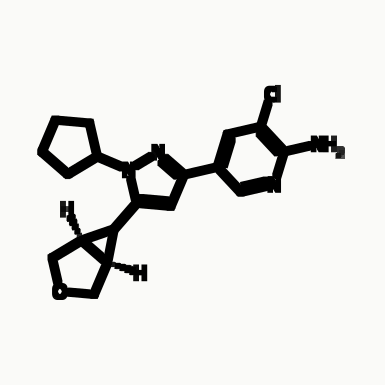 Nc1ncc(-c2cc(C3[C@H]4COC[C@@H]34)n(C3CCCC3)n2)cc1Cl